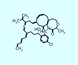 C=C/C=C/C=C(\C=C=C(C/C=C1\C=C=CC/C2=C(\C(=O)C1)N(C)C(=O)[C@H](C)OCC2)C(=C)C)CC[C@H](O)c1ccc(Cl)cc1